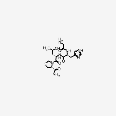 CC(C)C[C@H](NC(=O)[C@H](Cc1c[nH]cn1)NC(=O)CN)C(=O)N1CSC[C@H]1C(N)=O